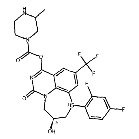 CC1CN(C(=O)Oc2nc(=O)n3c4c(cc(C(F)(F)F)cc24)[SH](c2ccc(F)cc2F)C[C@@H](O)C3)CCN1